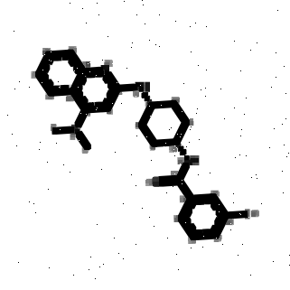 CN(C)c1cc(N[C@H]2CC[C@@H](NC(=O)c3cccc(I)c3)CC2)nc2ccccc12